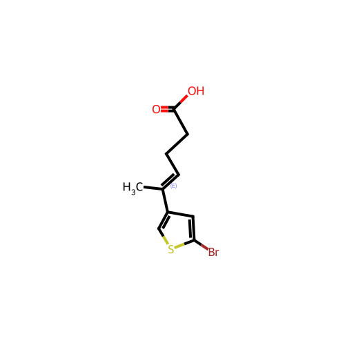 C/C(=C\CCC(=O)O)c1csc(Br)c1